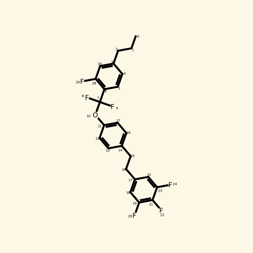 CCCc1ccc(C(F)(F)Oc2ccc(CCc3cc(F)c(F)c(F)c3)cc2)c(F)c1